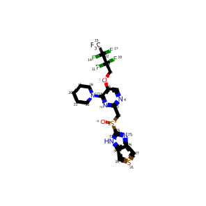 [O-][S+](Cc1ncc(OCC(F)(F)C(F)(F)C(F)(F)F)c(N2CCCCC2)n1)c1nc2cscc2[nH]1